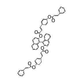 O=C(/C=C/c1ccccc1)OC1=C=C=C(/C=C/C(=O)Oc2ccc3ccccc3c2-c2c(OC(=O)/C=C/C3=CC=C(OC(=O)/C=C/c4ccccc4)CC3)ccc3ccccc23)C=C1